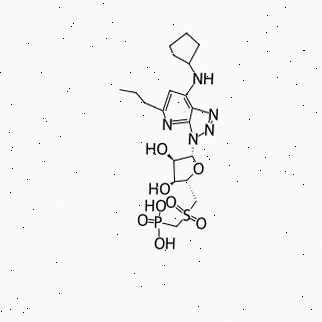 CCCc1cc(NC2CCCC2)c2nnn([C@@H]3O[C@H](CS(=O)(=O)CP(=O)(O)O)[C@@H](O)[C@H]3O)c2n1